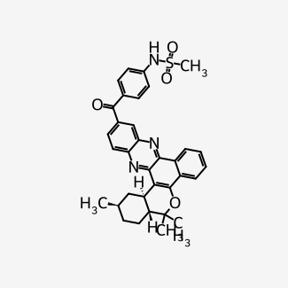 C[C@@H]1CC[C@@H]2[C@@H](C1)c1c(c3ccccc3c3nc4cc(C(=O)c5ccc(NS(C)(=O)=O)cc5)ccc4nc13)OC2(C)C